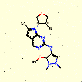 CC[C@@H]1COC[C@H]1n1c(C#N)cc2cnc(NC3=CN(C)N(C)C3OC(C)C)nc21